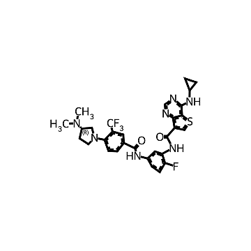 CN(C)[C@@H]1CCN(c2ccc(C(=O)Nc3ccc(F)c(NC(=O)c4csc5c(NC6CC6)ncnc45)c3)cc2C(F)(F)F)C1